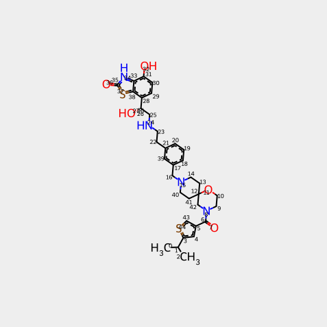 CC(C)c1cc(C(=O)N2CCOC3(CCN(Cc4cccc(CCNC[C@H](O)c5ccc(O)c6[nH]c(=O)sc56)c4)CC3)C2)cs1